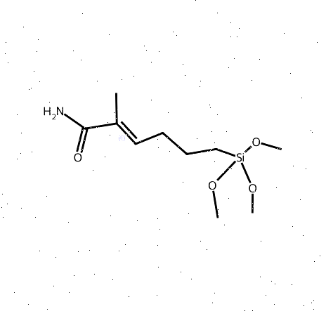 CO[Si](CCC/C=C(\C)C(N)=O)(OC)OC